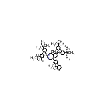 C=C1/C=C(n2c3ccc(C(C)(C)C)cc3c3cc(C(C)(C)C)ccc32)\C=C/CN(c2ccc3c(c2)C(C)(C)c2ccccc2-3)c2ccc(-n3c4ccc(C(C)(C)C)cc4c4cc(C(C)(C)C)ccc43)cc21